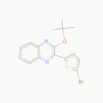 CC(C)(C)Oc1nc2ccccc2nc1-c1ccc(Br)s1